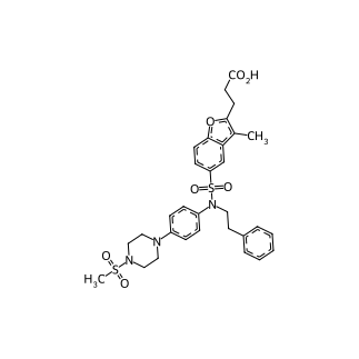 Cc1c(CCC(=O)O)oc2ccc(S(=O)(=O)N(CCc3ccccc3)c3ccc(N4CCN(S(C)(=O)=O)CC4)cc3)cc12